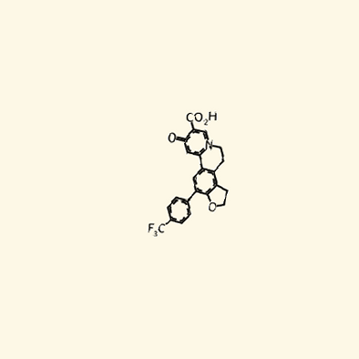 O=C(O)c1cn2c(cc1=O)-c1cc(-c3ccc(C(F)(F)F)cc3)c3c(c1CC2)CCO3